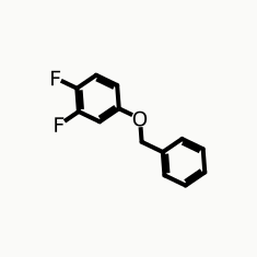 Fc1ccc(OCc2ccccc2)cc1F